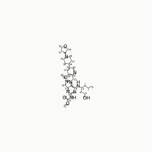 CCCC(CCO)Nc1nc(NC(=O)OC)nc2cnn(Cc3ncc(C4CCN(C5CCOC5)CC4)cc3OC)c12